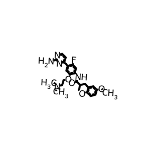 COc1ccc2c(c1)CC(C(=O)Nc1cc(F)c(-c3ccnc(N)n3)cc1OCCN(C)C)CO2